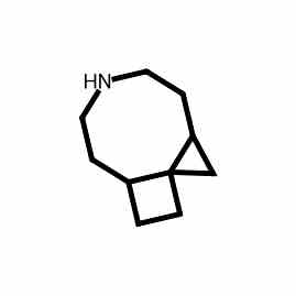 C1CC2CCC23CC3CCN1